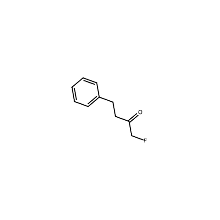 O=C(CF)CCc1ccccc1